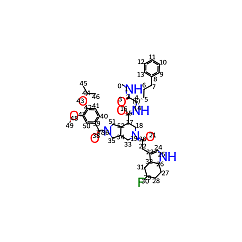 CNC(=O)[C@H](CCCc1ccccc1)NC(=O)C1CN(C(=O)CC2=CNC3CCC(F)CC23)CC2CN(C(=O)c3ccc(OC(C)C)c(OC)c3)CC21